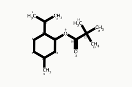 CC1CCC(C(C)C)C(OC(=O)C(C)(C)C)C1